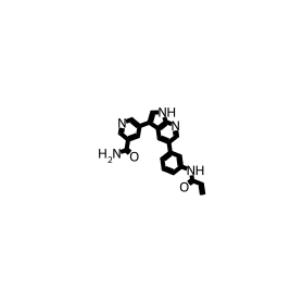 C=CC(=O)Nc1cccc(-c2cnc3[nH]cc(-c4cncc(C(N)=O)c4)c3c2)c1